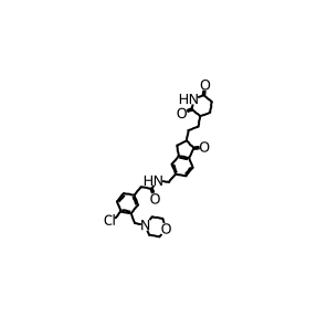 O=C(Cc1ccc(Cl)c(CN2CCOCC2)c1)NCc1ccc2c(c1)CC(CCC1CCC(=O)NC1=O)C2=O